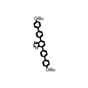 CC(C)COc1ccc(-c2ccc(-c3ccc(-c4ccc(-c5ccc(OCC(C)C)cc5)cc4)c4nsnc34)cc2)cc1